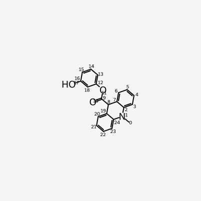 CN1c2ccccc2C(C(=O)Oc2cccc(O)c2)c2ccccc21